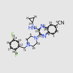 N#Cc1ccc2nc(N3CCN(Cc4cc(F)ccc4F)CC3)c(NC3CC3)nc2c1